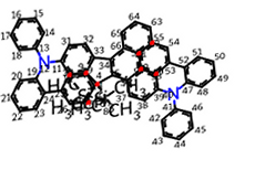 C[Si](C)(C)C1([Si](C)(C)C)c2cc(N(c3ccccc3)c3ccccc3-c3ccccc3)ccc2-c2c1c1ccc(N(c3ccccc3)c3ccccc3-c3ccccc3)cc1c1ccccc21